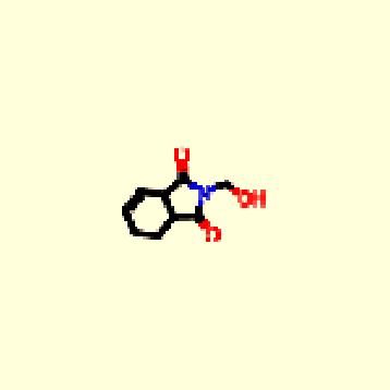 O=C1C2C=CCCC2C(=O)N1CO